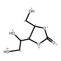 O=C1OC(CO)C(C(O)CO)O1